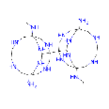 CCNC12CNCCNCC(N)(CNCCNC1)CNCC(C1CNCC3(N)CNCCNCC(NC)(CNCCNC3)CN1)NC2